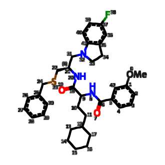 COc1cccc(C(=O)NC(CCC2CCCCC2)C(=O)N[C@@H](CSCc2ccccc2)CN2CCc3cc(F)ccc32)c1